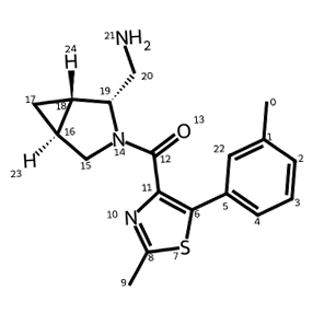 Cc1cccc(-c2sc(C)nc2C(=O)N2C[C@H]3C[C@@H]3[C@@H]2CN)c1